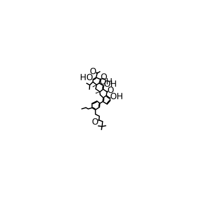 CCCc1ccc(-c2ccc(O)c3c2C[C@]2(C)C[C@]4(C)C(C(C)C)C(O)=C(C(C)=O)C(=O)[C@]4(O)C(O)=C2C3=O)cc1CCC(=O)CC(C)(C)C